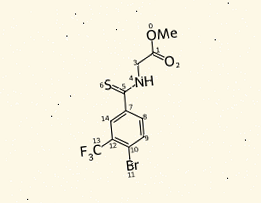 COC(=O)CNC(=S)c1ccc(Br)c(C(F)(F)F)c1